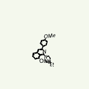 CCN1CCN(c2nc(-c3ccc(OC)cc3)cc3cccc(OC)c23)CC1